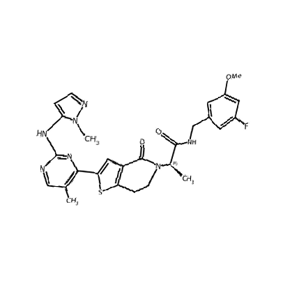 COc1cc(F)cc(CNC(=O)[C@@H](C)N2CCc3sc(-c4nc(Nc5ccnn5C)ncc4C)cc3C2=O)c1